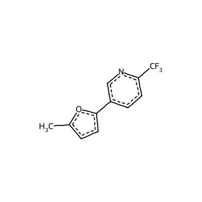 Cc1ccc(-c2ccc(C(F)(F)F)nc2)o1